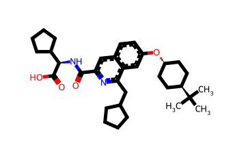 CC(C)(C)[C@H]1CC[C@H](Oc2ccc3cc(C(=O)N[C@@H](C(=O)O)C4CCCC4)nc(CC4CCCC4)c3c2)CC1